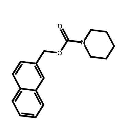 O=C(OCc1ccc2ccccc2c1)N1CCCCC1